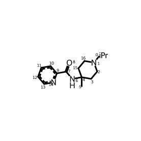 CC(C)N1CCC(C)(NC(=O)c2ccccn2)CC1